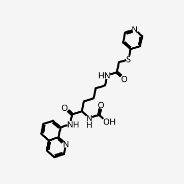 O=C(O)NC(CCCCNC(=O)CSc1ccncc1)C(=O)Nc1cccc2cccnc12